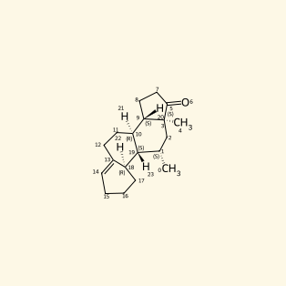 C[C@H]1C[C@]2(C)C(=O)CC[C@H]2[C@@H]2CCC3=CCCC[C@@H]3[C@H]21